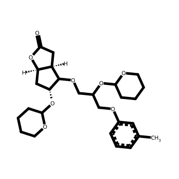 Cc1cccc(OCC(COC2[C@H](OC3CCCCO3)C[C@H]3OC(=O)C[C@@H]23)OC2CCCCO2)c1